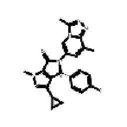 Cc1cc(N2C(=O)c3c(c(C4CC4)nn3C)[C@H]2c2ccc(Cl)cc2)cn2c(C)nnc12